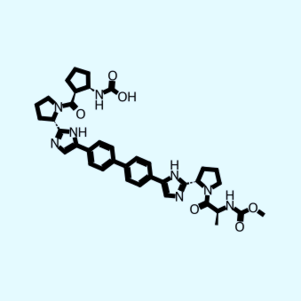 COC(=O)N[C@@H](C)C(=O)N1CCC[C@H]1c1ncc(-c2ccc(-c3ccc(-c4cnc([C@@H]5CCCN5C(=O)[C@H]5CCC[C@@H]5NC(=O)O)[nH]4)cc3)cc2)[nH]1